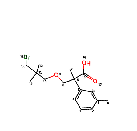 Cc1cccc(C(C)(COCC(C)(C)CBr)C(=O)O)c1